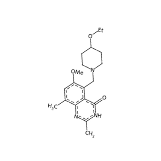 CCOC1CCN(Cc2c(OC)cc(C)c3nc(C)[nH]c(=O)c23)CC1